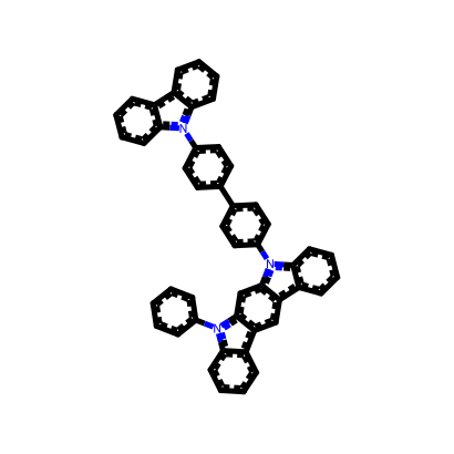 c1ccc(-n2c3ccccc3c3cc4c5ccccc5n(-c5ccc(-c6ccc(-n7c8ccccc8c8ccccc87)cc6)cc5)c4cc32)cc1